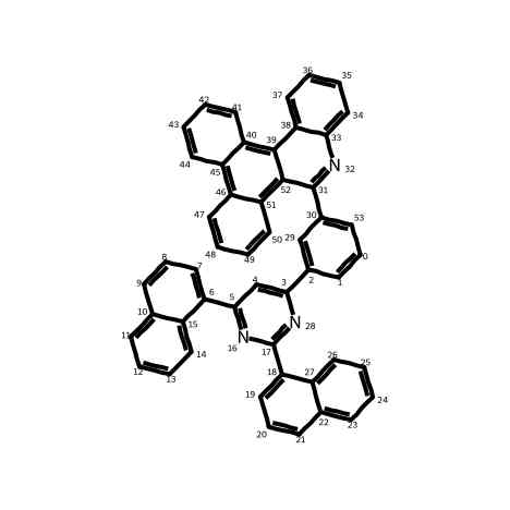 c1cc(-c2cc(-c3cccc4ccccc34)nc(-c3cccc4ccccc34)n2)cc(-c2nc3ccccc3c3c4ccccc4c4ccccc4c23)c1